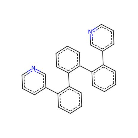 c1cncc(-c2ccccc2-c2ccccc2-c2ccccc2-c2cccnc2)c1